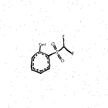 O=S(=O)(c1ccccc1O)C(F)F